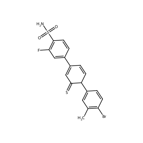 Cc1cc(C2C=CC(c3ccc(S(N)(=O)=O)c(F)c3)=CC2=S)ccc1Br